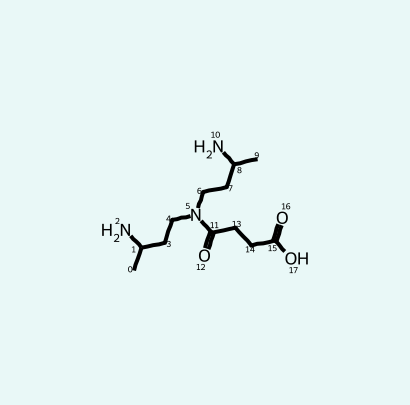 CC(N)CCN(CCC(C)N)C(=O)CCC(=O)O